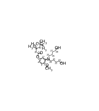 COc1ccc(OC(=O)CC(C)CC(C)(C)C)cc1N(CCCCO)CCCCO